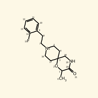 CC1OC2(CCN(CCc3ccccc3F)CC2)CNC1=O